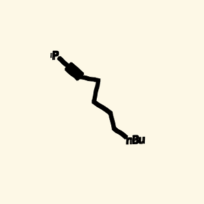 CCCCCCCCC#C[P]